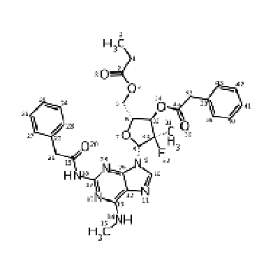 CCC(=O)OC[C@H]1O[C@@H](n2cnc3c(NC)nc(NC(=O)Cc4ccccc4)nc32)[C@](C)(F)[C@@H]1OC(=O)Cc1ccccc1